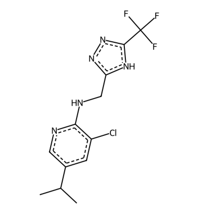 CC(C)c1cnc(NCc2nnc(C(F)(F)F)[nH]2)c(Cl)c1